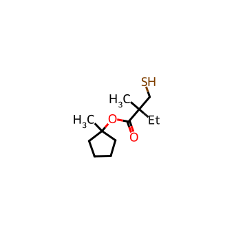 CCC(C)(CS)C(=O)OC1(C)CCCC1